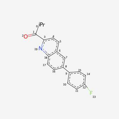 CC(C)C(=O)c1ccc2cc(-c3ccc(F)cc3)ccc2n1